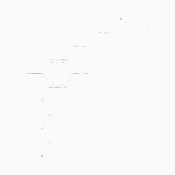 Cc1cc(CCCCC(C)(C)C(=O)O)c(C)cc1CCCCC(C)(C)C(=O)O